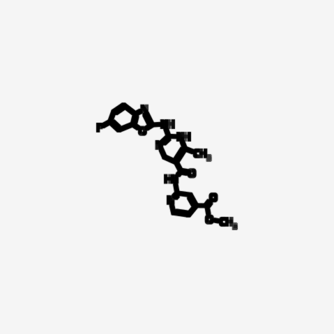 COC(=O)c1ccnc(NC(=O)C2=C(C)NC(Nc3nc4ccc(F)cc4o3)=NC2)c1